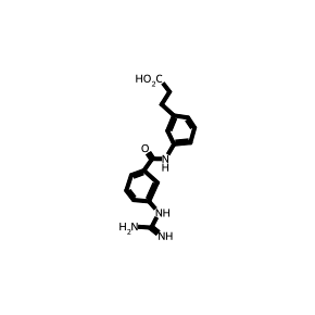 N=C(N)Nc1cccc(C(=O)Nc2cccc(CCC(=O)O)c2)c1